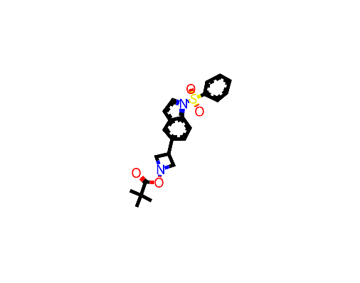 CC(C)(C)C(=O)ON1CC(c2ccc3c(ccn3S(=O)(=O)c3ccccc3)c2)C1